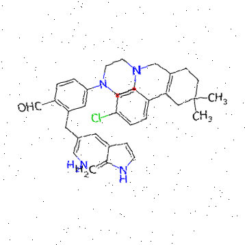 C=c1[nH]cc/c1=C/C(=C\N)Cc1cc(N2CCN(CC3=C(c4ccc(Cl)cc4)CC(C)(C)CC3)CC2)ccc1C=O